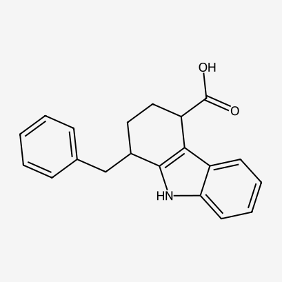 O=C(O)C1CCC(Cc2ccccc2)c2[nH]c3ccccc3c21